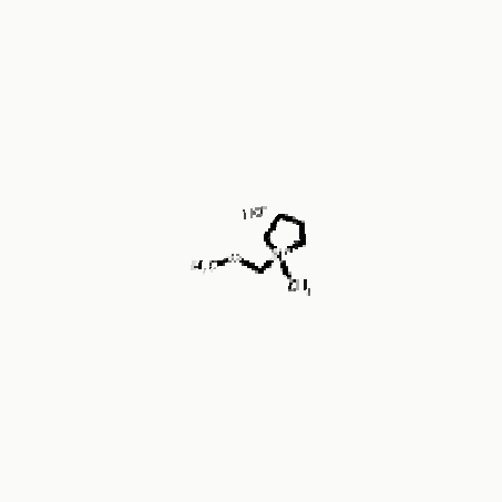 COC[N+]1(C)CCCC1.[OH-]